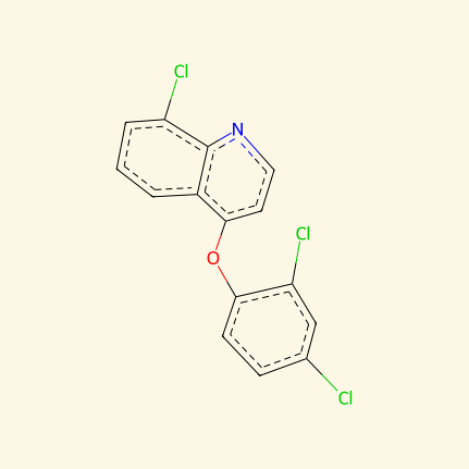 Clc1ccc(Oc2ccnc3c(Cl)cccc23)c(Cl)c1